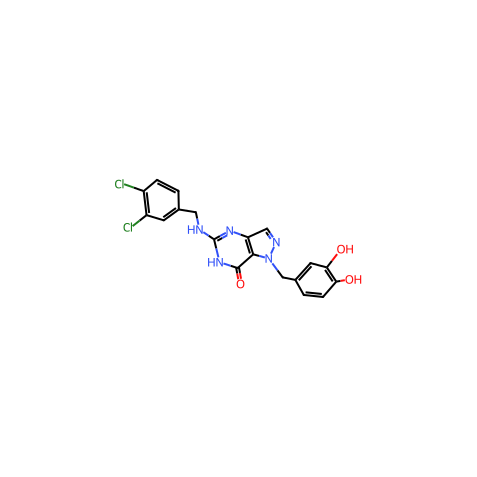 O=c1[nH]c(NCc2ccc(Cl)c(Cl)c2)nc2cnn(Cc3ccc(O)c(O)c3)c12